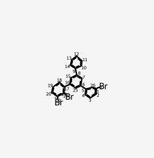 Brc1cccc(-c2cc(-c3ccccc3)cc(-c3cccc(Br)c3Br)c2)c1